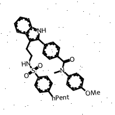 CCCCCc1ccc(S(=O)(=O)NCCc2c(-c3ccc(C(=O)N(C)c4ccc(OC)cc4)cc3)[nH]c3ccccc23)cc1